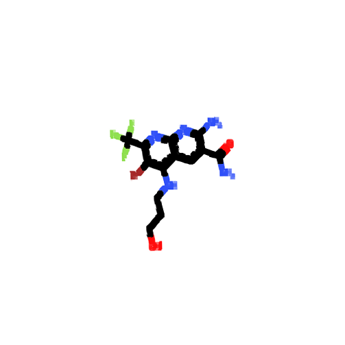 NC(=O)c1cc2c(NCCCO)c(Br)c(C(F)(F)F)nc2nc1N